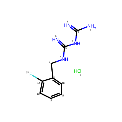 Cl.N=C(N)NC(=N)NCc1ccccc1F